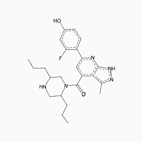 CCCC1CN(C(=O)c2cc(-c3ccc(O)cc3F)nc3[nH]nc(C)c23)C(CCC)CN1